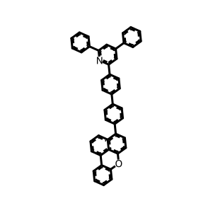 c1ccc(-c2cc(-c3ccccc3)nc(-c3ccc(-c4ccc(-c5ccc6c7c(cccc57)-c5ccccc5O6)cc4)cc3)c2)cc1